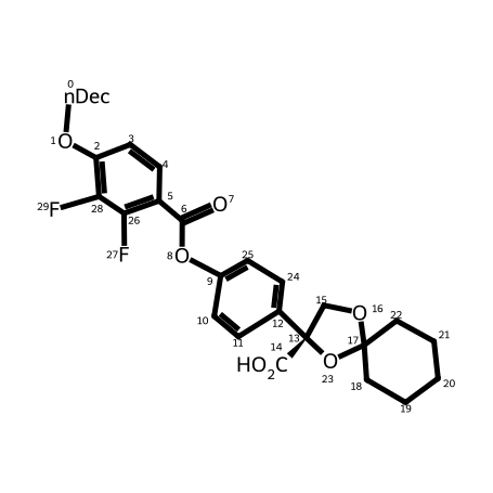 CCCCCCCCCCOc1ccc(C(=O)Oc2ccc([C@]3(C(=O)O)COC4(CCCCC4)O3)cc2)c(F)c1F